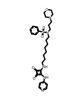 O=c1c(NCCCCCCCCN(CCCN2CCOCC2)S(=O)(=O)c2ccccc2)c(Nc2ccncc2)c1=O